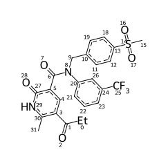 CCC(=O)c1cc(C(=O)N(Cc2ccc(S(C)(=O)=O)cc2)c2cccc(C(F)(F)F)c2)c(=O)[nH]c1C